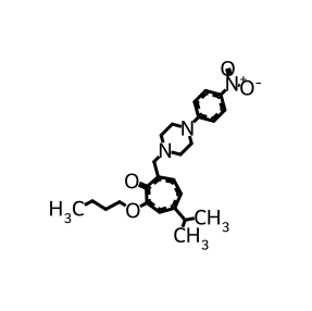 CCCCOc1cc(C(C)C)ccc(CN2CCN(c3ccc([N+](=O)[O-])cc3)CC2)c1=O